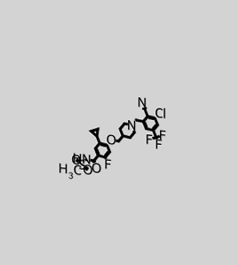 CS(=O)(=O)NC(=O)c1cc(C2CC2)c(OCC2CCN(Cc3cc(C(F)(F)F)cc(Cl)c3C#N)CC2)cc1F